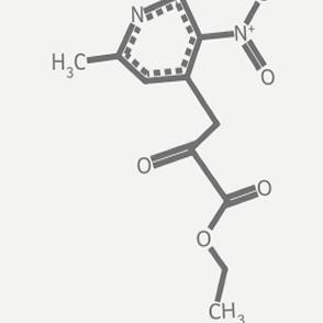 CCOC(=O)C(=O)Cc1cc(C)ncc1[N+](=O)[O-]